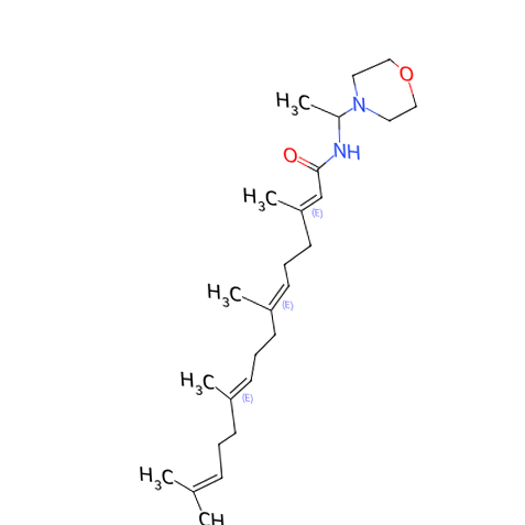 CC(C)=CCC/C(C)=C/CC/C(C)=C/CC/C(C)=C/C(=O)NC(C)N1CCOCC1